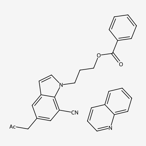 CC(=O)Cc1cc(C#N)c2c(ccn2CCCOC(=O)c2ccccc2)c1.c1ccc2ncccc2c1